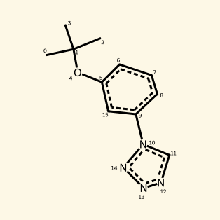 CC(C)(C)Oc1cccc(-n2cnnn2)c1